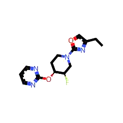 CCc1coc(N2CC[C@H](Oc3ncccn3)[C@H](F)C2)n1